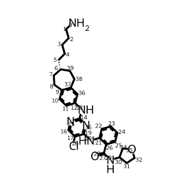 NCCCCC[C@H]1CCc2ccc(Nc3ncc(Cl)c(Nc4ccccc4C(=O)NC4CCOC4)n3)cc2CC1